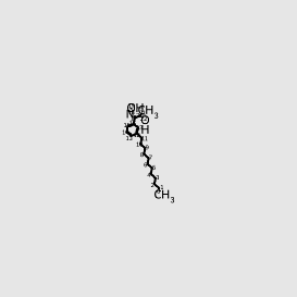 CCCCCCCCCCCCc1cccc(C(=NO)C(C)O)c1